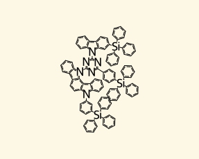 c1ccc([Si](c2ccccc2)(c2ccccc2)c2ccc(-c3nc(-n4c5ccccc5c5ccc([Si](c6ccccc6)(c6ccccc6)c6ccccc6)cc54)nc(-n4c5ccccc5c5ccc6c(c7ccccc7n6-c6cccc([Si](c7ccccc7)(c7ccccc7)c7ccccc7)c6)c54)n3)cc2)cc1